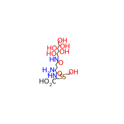 N[C@@H](CCC(=O)NC[C@H](O)[C@@H](O)[C@H](O)[C@H](O)CO)C(=O)N[C@H](CSSCCO)C(=O)O